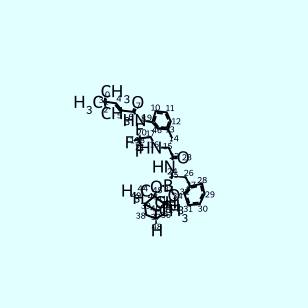 CC(C)(C)C=CC(=O)Nc1cccc(C[C@@H](NCC(F)(F)F)C(=O)N[C@@H](Cc2ccccc2)B2O[C@@H]3C[C@@H]4C[C@@H](C4(C)C)[C@]3(C)O2)c1